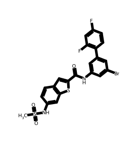 CS(=O)(=O)Nc1ccc2cc(C(=O)Nc3cc(Br)cc(-c4ccc(F)cc4F)c3)sc2c1